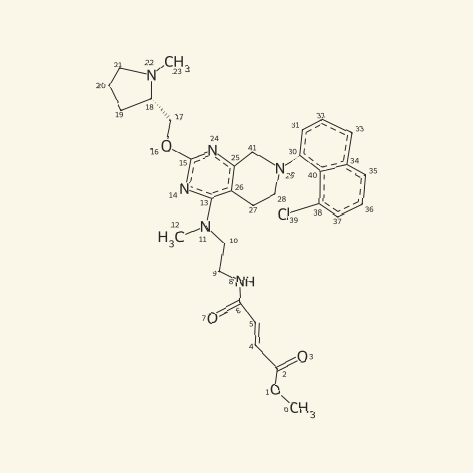 COC(=O)/C=C/C(=O)NCCN(C)c1nc(OC[C@@H]2CCCN2C)nc2c1CCN(c1cccc3cccc(Cl)c13)C2